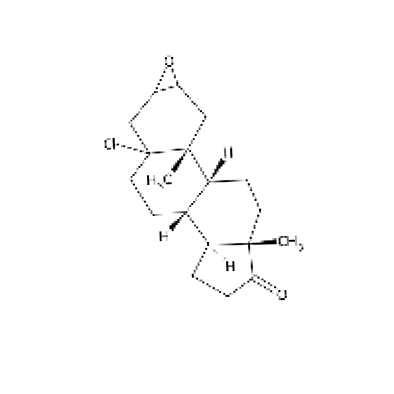 C[C@]12CC[C@@H]3[C@@H](CCC4(Cl)CC5OC5C[C@]34C)[C@@H]1CCC2=O